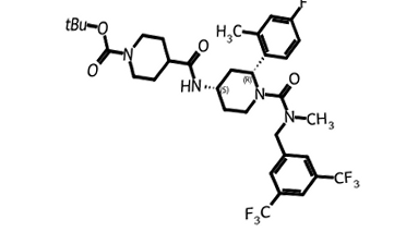 Cc1cc(F)ccc1[C@H]1C[C@@H](NC(=O)C2CCN(C(=O)OC(C)(C)C)CC2)CCN1C(=O)N(C)Cc1cc(C(F)(F)F)cc(C(F)(F)F)c1